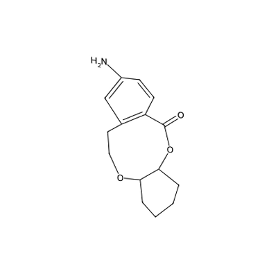 Nc1ccc2c(c1)CCOC1CCCCC1OC2=O